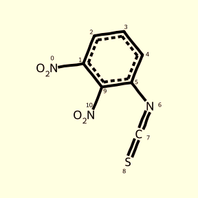 O=[N+]([O-])c1cccc(N=C=S)c1[N+](=O)[O-]